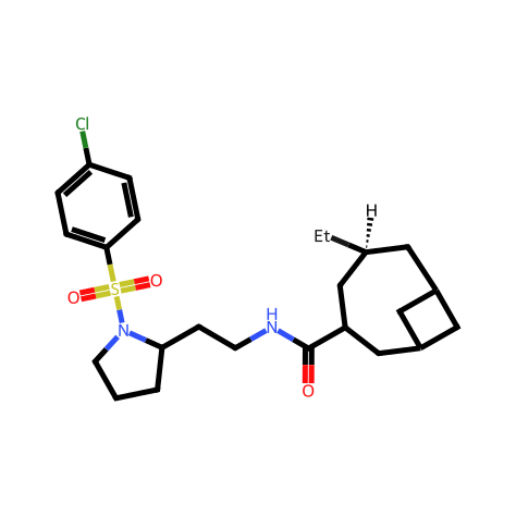 CC[C@H]1CC2CC(C2)CC(C(=O)NCCC2CCCN2S(=O)(=O)c2ccc(Cl)cc2)C1